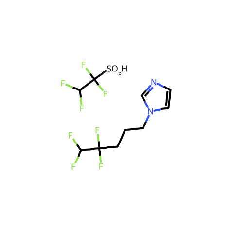 FC(F)C(F)(F)CCCn1ccnc1.O=S(=O)(O)C(F)(F)C(F)F